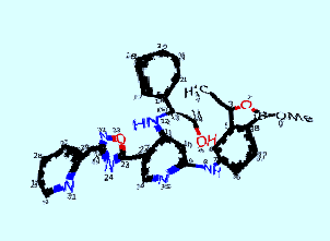 COB1OC(C)c2cc(Nc3cc(N[C@H](CO)c4ccccc4)c(-c4nc(-c5ccccn5)no4)cn3)ccc21